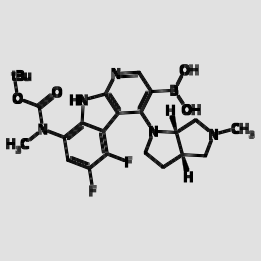 CN1C[C@@H]2CCN(c3c(B(O)O)cnc4[nH]c5c(N(C)C(=O)OC(C)(C)C)cc(F)c(F)c5c34)[C@@H]2C1